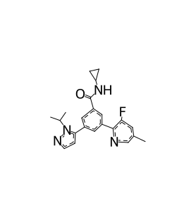 Cc1cnc(-c2cc(C(=O)NC3CC3)cc(-c3ccnn3C(C)C)c2)c(F)c1